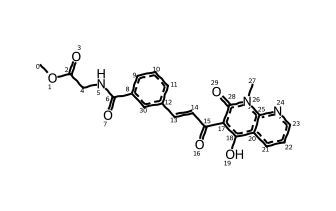 COC(=O)CNC(=O)c1cccc(/C=C/C(=O)c2c(O)c3cccnc3n(C)c2=O)c1